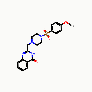 COc1ccc(S(=O)(=O)N2CCN(Cc3nc4ccccc4c(=O)[nH]3)CC2)cc1